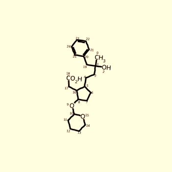 CC(O)(CCC1CCC(OC2CCCCO2)C1CC(=O)O)Cc1ccccc1